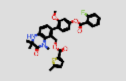 COc1cc(OC(=O)c2ccccc2F)ccc1-c1ccc2c(c1COC(=O)c1ccc(C)s1)N(C)C(=O)C(C)(C)N2